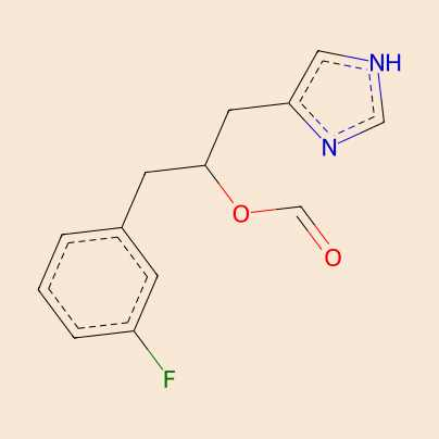 O=COC(Cc1cccc(F)c1)Cc1c[nH]cn1